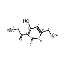 CCCCCCCCCCCC(=O)c1c(O)cc(CCCCCCCCCCC)oc1=O